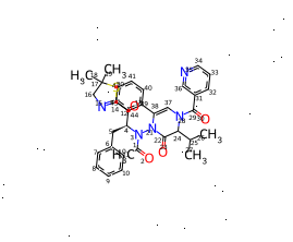 CC(=O)N([C@@H](Cc1ccccc1)C(=O)C1=NCC(C)(C)S1)N1C(=O)C(C(C)C)N(C(=O)c2cccnc2)C=C1c1ccccc1